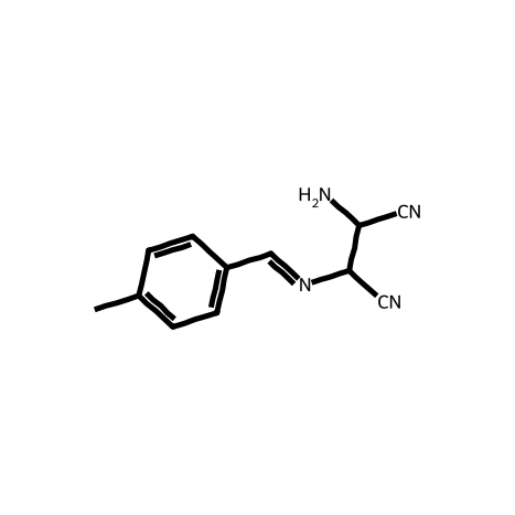 Cc1ccc(/C=N/C(C#N)C(N)C#N)cc1